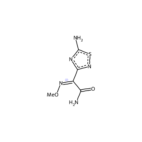 CO/N=C(\C(N)=O)c1nsc(N)n1